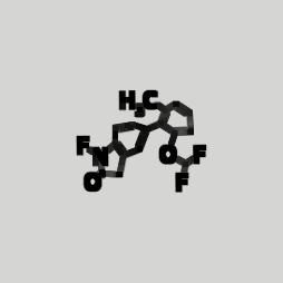 Cc1cccc(OC(F)F)c1-c1ccc2c(c1)CC(=O)N2F